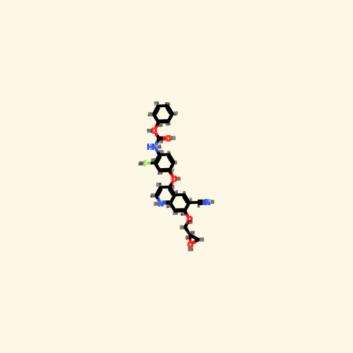 N#Cc1cc2c(Oc3ccc(NC(=O)Oc4ccccc4)c(F)c3)ccnc2cc1OC[C@H]1CO1